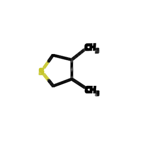 CC1CSCC1C